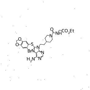 CCOC(=O)CNC(=O)N1CCC(CCn2c(Sc3cc4c(cc3Br)OCO4)nc3c(N)ncnc32)CC1